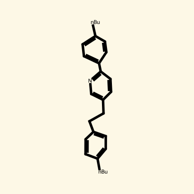 CCCCc1ccc(CCc2ccc(-c3ccc(CCCC)cc3)nc2)cc1